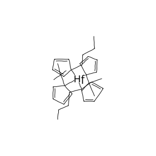 CCCC[C]1([Hf]([C]2(CCCC)C=CC=C2)([C]2(C(C)(C)C)C=CC=C2)[C]2(C(C)(C)C)C=CC=C2)C=CC=C1